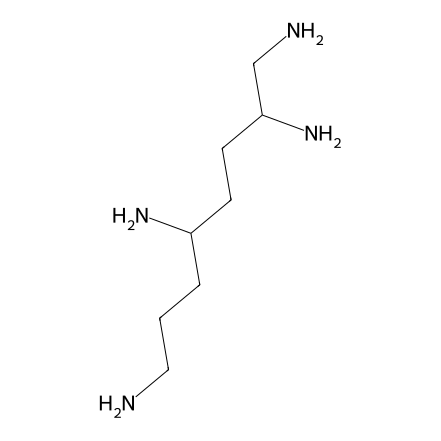 NCCCC(N)CCC(N)CN